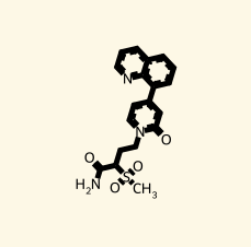 CS(=O)(=O)C(CCn1ccc(-c2cccc3cccnc23)cc1=O)C(N)=O